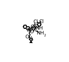 NCC[C@H](NC(=O)[C@@H]1Cc2ccccc2CN1C(=O)CCC(=O)N1CCC2(CC2)C1)C(=O)Nc1ccc(Cl)c(Cl)c1F